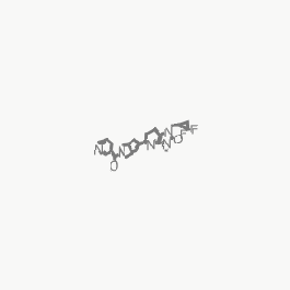 Cn1c(=O)n(CC2CC2(F)F)c2ccc(C3=CC4CN(C(=O)c5cccnc5)CC4C3)nc21